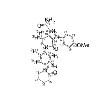 [2H]c1c([2H])c(N2CC([2H])([2H])c3c(C(N)=O)nn(-c4ccc(OC)cc4)c3C2=O)c([2H])c([2H])c1N1CCCCC1=O